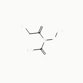 CCCON(C(N)=O)C(=O)CO